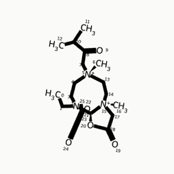 CC[N+]12CC[N@+](C)(CC(=O)C(C)C)CC[N@@+]3(C)CC(=O)O[C@]13OC(=O)C2